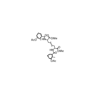 COC(=O)C(CSSCC(NC(=O)c1cccc(OC(C)=O)c1C)C(=O)OC)NC(=O)c1cccc(OC(C)=O)c1C